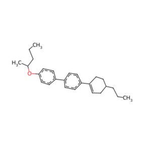 CCCC1CC=C(c2ccc(-c3ccc(OC(C)CCC)cc3)cc2)CC1